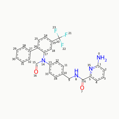 Nc1cccc(C(=O)NCc2ccc(N(C=O)c3cc(C(F)(F)F)ccc3-c3ccccc3)cc2)n1